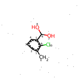 [CH2]c1cccc(C(O)O)c1Cl